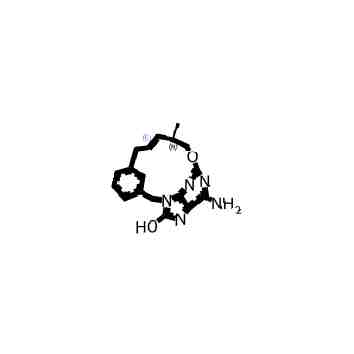 C[C@@H]1/C=C/Cc2cccc(c2)Cn2c(O)nc3c(N)nc(nc32)OC1